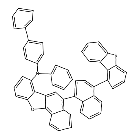 c1ccc(-c2ccc(N(c3ccccc3)c3cccc4oc5c6ccccc6c(-c6ccc(-c7cccc8sc9ccccc9c78)c7ccccc67)cc5c34)cc2)cc1